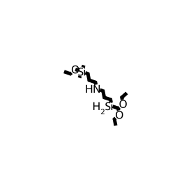 CCOC(OCC)[SiH2]CCCNCCC[Si](C)(C)OCC